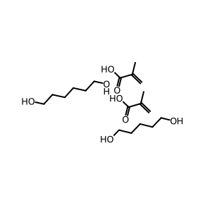 C=C(C)C(=O)O.C=C(C)C(=O)O.OCCCCCCO.OCCCCCO